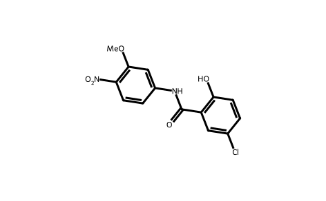 COc1cc(NC(=O)c2cc(Cl)ccc2O)ccc1[N+](=O)[O-]